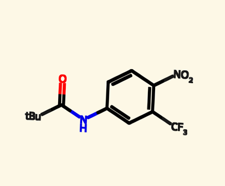 CC(C)(C)C(=O)Nc1ccc([N+](=O)[O-])c(C(F)(F)F)c1